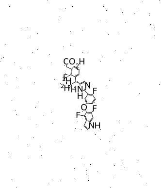 [2H]C([2H])([2H])C(c1cnc(-c2cc(Oc3c(F)cc4[nH]ccc4c3F)ccc2F)[nH]1)c1cccc(CC(=O)O)c1F